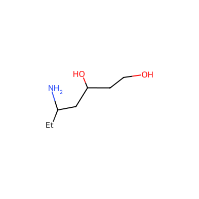 CCC(N)CC(O)CCO